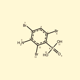 Nc1c(Br)cc(Br)c(P(=O)(O)O)c1Br